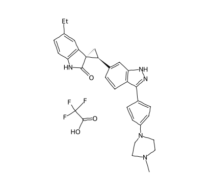 CCc1ccc2c(c1)[C@]1(C[C@H]1c1ccc3c(-c4ccc(N5CCN(C)CC5)cc4)n[nH]c3c1)C(=O)N2.O=C(O)C(F)(F)F